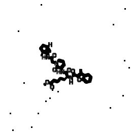 COC(=O)/C=C/CC[C@H](NC(=O)c1oc2ccccc2c1C)C(=O)Nc1cccn(CC(=O)N[C@H]2C[C@H]3CC[C@]2(C)C3(C)C)c1=O